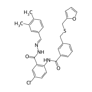 Cc1ccc(C=NNC(=O)c2cc(Cl)ccc2NC(=O)c2cccc(CSCc3ccco3)c2)cc1C